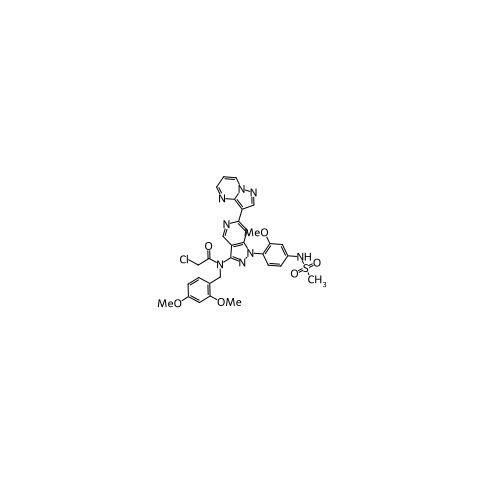 COc1ccc(CN(C(=O)CCl)c2nn(-c3ccc(NS(C)(=O)=O)cc3OC)c3cc(-c4cnn5cccnc45)ncc23)c(OC)c1